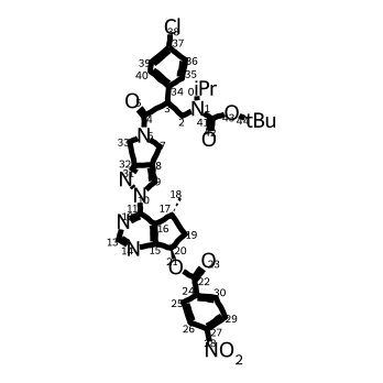 CC(C)N(CC(C(=O)N1Cc2cn(-c3ncnc4c3[C@H](C)C[C@H]4OC(=O)c3ccc([N+](=O)[O-])cc3)nc2C1)c1ccc(Cl)cc1)C(=O)OC(C)(C)C